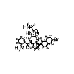 CN[C@@H](C)C(=O)N[C@H]1CN(C(=O)c2ccccc2N)c2ccccc2N(Cc2c(OC)ccc3cc(Br)ccc23)C1=O